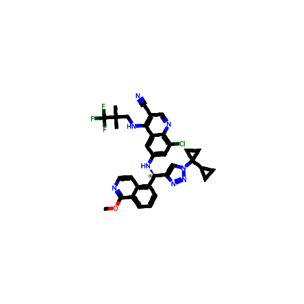 COc1nccc2c([C@H](Nc3cc(Cl)c4ncc(C#N)c(NCC(C)(C)C(F)(F)F)c4c3)c3cn(C4(C5CC5)CC4)nn3)cccc12